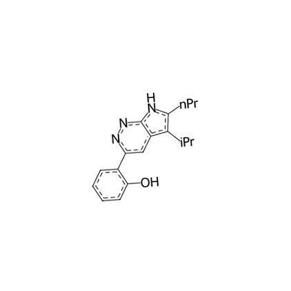 CCCc1[nH]c2nnc(-c3ccccc3O)cc2c1C(C)C